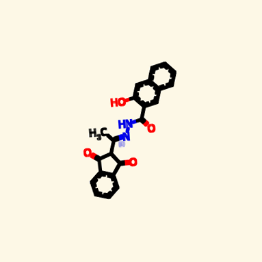 C/C(=N\NC(=O)c1cc2ccccc2cc1O)C1C(=O)c2ccccc2C1=O